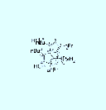 CCCCC1=CC(CCC)=[C]([Hf]([CH3])([CH3])(=[SiH2])[C]2=C(CCC)C=C(CCCC)C2)C1.Cl.Cl